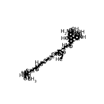 C#CCNC(=O)[C@H](CCCCNC(=O)c1ccc(-c2c3ccc(=N)c(S(=O)(=O)O)c-3oc3c(S(=O)(=O)O)c(N)ccc23)c(C(=O)O)c1)CC(=O)CCOCCOCCOCCOCCNC(=O)CCCC[C@@H]1SC[C@@H]2NC(=O)N(CC)[C@@H]21